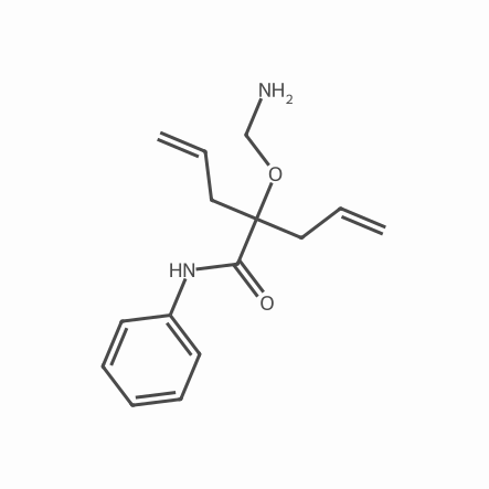 C=CCC(CC=C)(OCN)C(=O)Nc1ccccc1